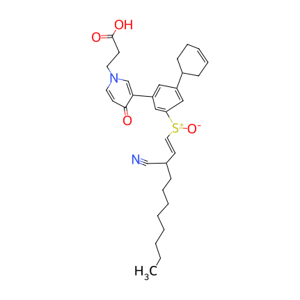 CCCCCCCCC(C#N)C=C[S+]([O-])c1cc(-c2cn(CCC(=O)O)ccc2=O)cc(C2CC=CCC2)c1